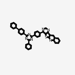 c1ccc(-c2ccc(-c3nc(-c4ccccc4)nc(-c4ccc(-c5ncnc6c5sc5nc7ccccc7cc56)cc4)n3)cc2)cc1